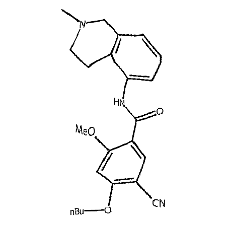 CCCCOc1cc(OC)c(C(=O)Nc2cccc3c2CCN(C)C3)cc1C#N